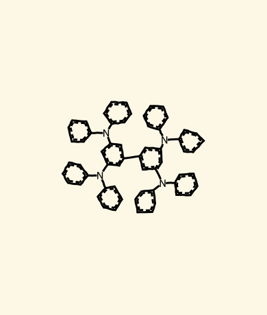 c1ccc(N(c2ccccc2)c2cc(-c3cc(N(c4ccccc4)c4ccccc4)cc(N(c4ccccc4)c4ccccc4)c3)cc(N(c3ccccc3)c3ccccc3)c2)cc1